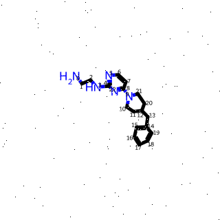 NCCNc1nccc(N2CCC(Cc3ccccc3)CC2)n1